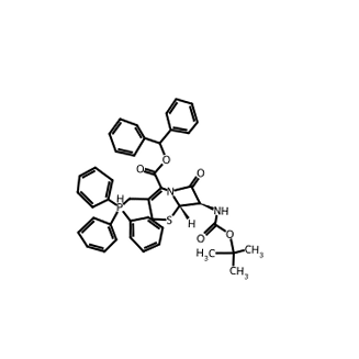 CC(C)(C)OC(=O)N[C@@H]1C(=O)N2C(C(=O)OC(c3ccccc3)c3ccccc3)=C(C[PH](c3ccccc3)(c3ccccc3)c3ccccc3)CS[C@@H]12